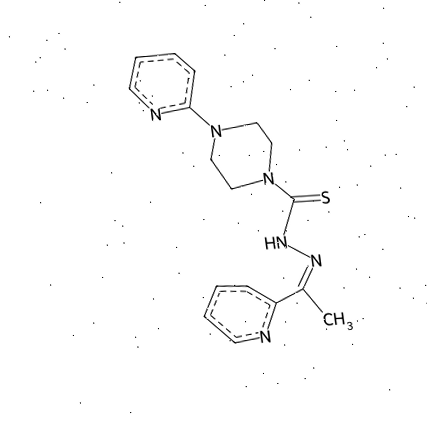 CC(=NNC(=S)N1CCN(c2ccccn2)CC1)c1ccccn1